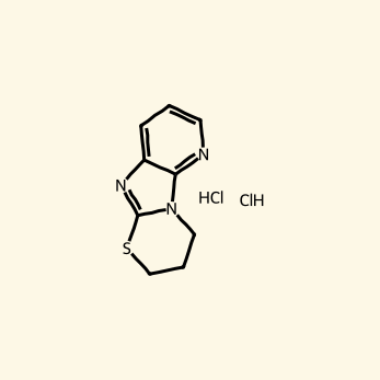 Cl.Cl.c1cnc2c(c1)nc1n2CCCS1